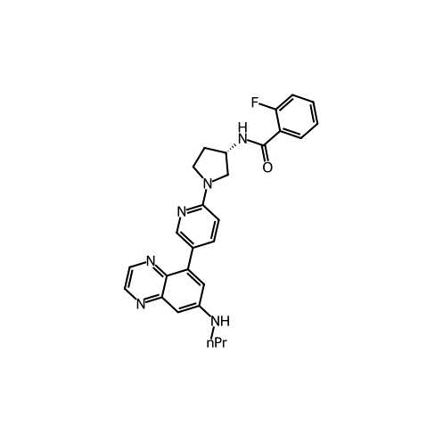 CCCNc1cc(-c2ccc(N3CC[C@H](NC(=O)c4ccccc4F)C3)nc2)c2nccnc2c1